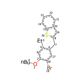 CCCCOc1cc(CC)c(Cc2cc3ccccc3s2)cc1Br